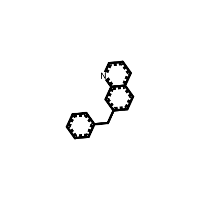 c1ccc(Cc2ccc3cccnc3c2)cc1